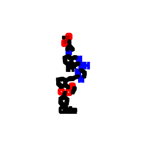 COc1ccc(COc2cccc(C#Cc3nccc(Nc4cc5c(C(C)C)ccc(N6CC(CS(C)(=O)=O)C6)c5cn4)n3)c2C2OCCO2)cc1